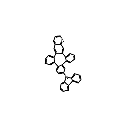 c1ccc2c(c1)-c1ccc(-n3c4ccccc4c4ccccc43)cc1-c1ccccc1-c1cc3ncccc3cc1-2